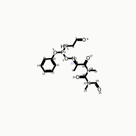 C/C(=N\OP(NCC=O)Oc1ccccc1)C(=O)N(C)C(=O)N(C)C=O